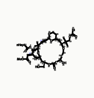 CCCCCCCC(=O)O[C@H]1/C(=C/C(=O)OC)C[C@H]2C[C@H](CO)OC(=O)C[C@H](O)CCO[C@H](C(C)(C)COC(=O)CC)C[C@@H]3CCO[C@H](/C=C/C(C)(C)[C@]1(O)O2)O3